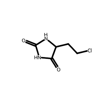 O=C1NC(=O)C(CCCl)N1